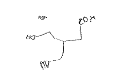 O=C(O)CC(CO)CO.[Ag]